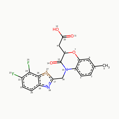 Cc1ccc2c(c1)OC(CC(=O)O)C(=O)N2Cc1nc2ccc(F)c(F)c2s1